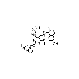 CCc1c(F)ccc2cc(O)cc(-c3ncc4c(N5CCC(C)(O)C5)nc(OC[C@@]56CCCN5C[C@H](F)C6)nc4c3F)c12